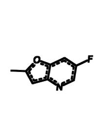 Cc1cc2ncc(F)cc2o1